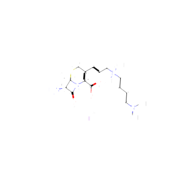 CN(C)CCCC[N+](C)(C)CC=CC1=C(C(=O)[O-])N2C(=O)[C@@H](N)[C@H]2SC1.I.I